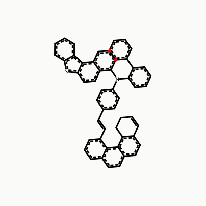 C1=Cc2ccc3ccc4cccc(C=Cc5ccc(N(c6ccccc6-c6ccccc6)c6cccc7c6ccc6sc8ccccc8c67)cc5)c4c3c2CC1